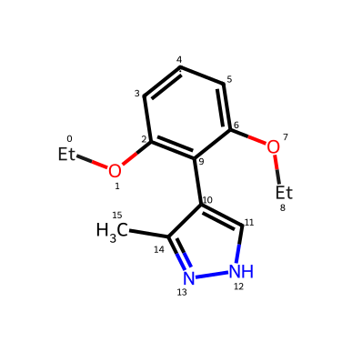 CCOc1c[c]cc(OCC)c1-c1c[nH]nc1C